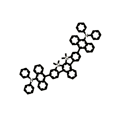 C[Si]1(C)c2cc(-c3c4ccccc4c(N(c4ccccc4)c4ccccc4)c4ccccc34)ccc2-c2c1c1c(c3ccccc23)-c2ccc(-c3c4ccccc4c(N(c4ccccc4)c4ccccc4)c4ccccc34)cc2[Si]1(C)C